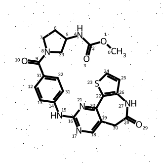 COC(=O)NC1CCN(C(=O)c2ccc(Nc3ncc4c(n3)-c3sccc3NC(=O)C4)cc2)C1